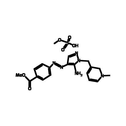 COC(=O)c1ccc(N=Nc2cnn(CC3=CC=CN(C)C3)c2N)cc1.COS(=O)(=O)O